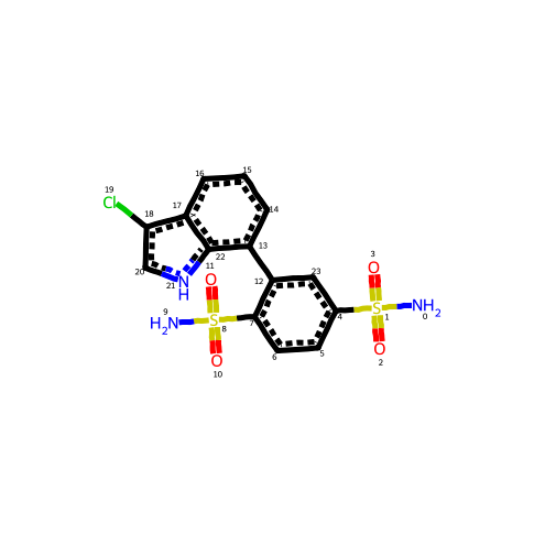 NS(=O)(=O)c1ccc(S(N)(=O)=O)c(-c2cccc3c(Cl)c[nH]c23)c1